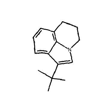 CC(C)(C)c1cn2c3c(cccc13)CCC2